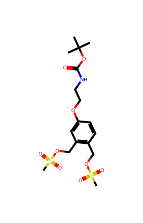 CC(C)(C)OC(=O)NCCOc1ccc(COS(C)(=O)=O)c(COS(C)(=O)=O)c1